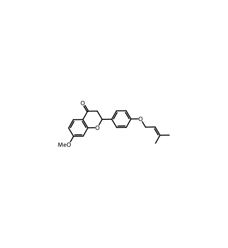 COc1ccc2c(c1)OC(c1ccc(OCC=C(C)C)cc1)CC2=O